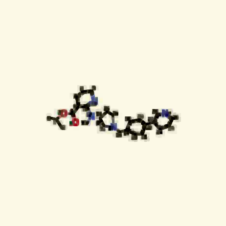 CC(C)OC(=O)c1cccnc1N(C)[C@@H]1CCN(Cc2ccc(-c3cccnc3)cc2)C1